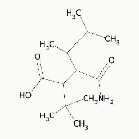 CC(C)C(C)C(C(N)=O)C(C(=O)O)C(C)(C)C